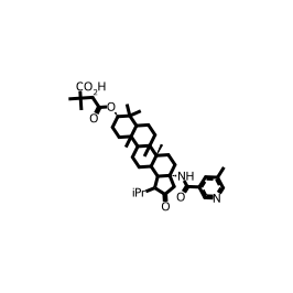 Cc1cncc(C(=O)N[C@@]23CC[C@]4(C)C(CCC5C6(C)CC[C@H](OC(=O)CC(C)(C)C(=O)O)C(C)(C)C6CCC54C)C2C(C(C)C)C(=O)C3)c1